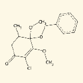 COC1=C(Cl)C(=O)CC(C)C1(OC)OCc1ccccc1